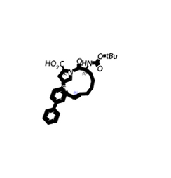 CC(C)(C)OC(=O)N[C@H]1CCCC/C=C/CS[C@@]2(c3ccc(-c4ccccc4)cc3)C[C@@H](C(=O)O)N(C2)C1=O